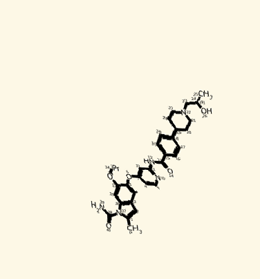 Cc1cc2cc(Oc3ccnc(NC(=O)c4ccc(C5CCN(C[C@@H](C)O)CC5)cc4)c3)c(OC(C)C)cc2n1C(N)=O